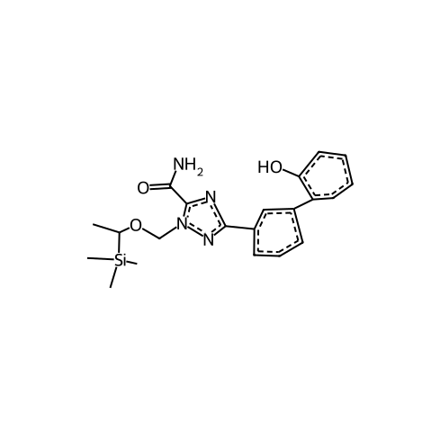 CC(OCn1nc(-c2cccc(-c3ccccc3O)c2)nc1C(N)=O)[Si](C)(C)C